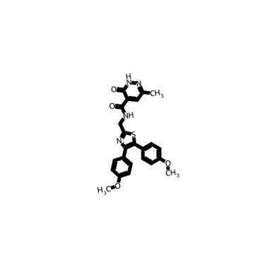 COc1ccc(-c2nc(CNC(=O)c3cc(C)n[nH]c3=O)sc2-c2ccc(OC)cc2)cc1